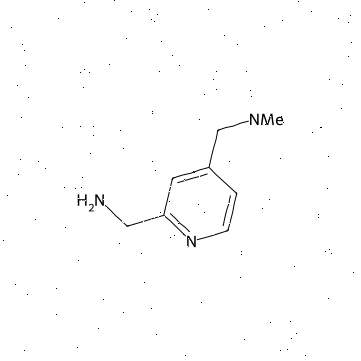 CNCc1ccnc(CN)c1